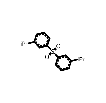 CC(C)c1cccc(S(=O)(=O)c2cccc(C(C)C)c2)c1